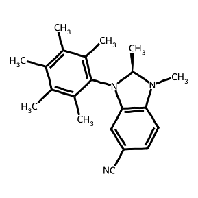 Cc1c(C)c(C)c(N2c3cc(C#N)ccc3N(C)[C@@H]2C)c(C)c1C